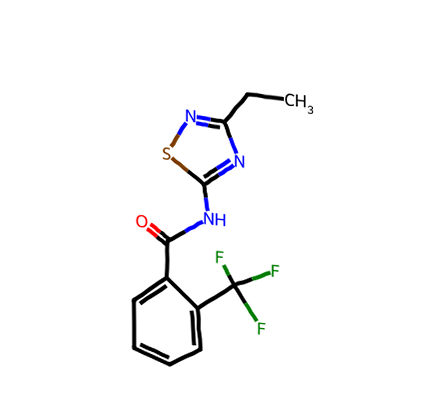 CCc1nsc(NC(=O)c2ccccc2C(F)(F)F)n1